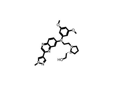 COc1cc(OC)cc(N(CCN2CCC[C@@H]2CCO)c2ccc3ncc(-c4cnn(C)c4)nc3c2)c1